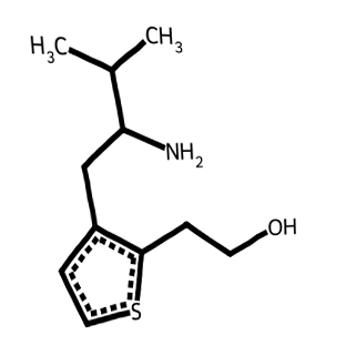 CC(C)C(N)Cc1ccsc1CCO